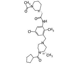 CC(=O)N1CCC[C@H](CC(=O)Nc2cc(Cl)cc(CN3CCN(C(=O)C4CCCC4)[C@@H](C)C3)c2C)C1